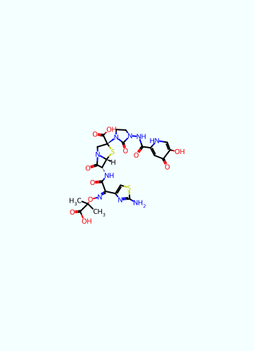 CC(C)(O/N=C(\C(=O)N[C@@H]1C(=O)N2C[C@@](C(=O)O)(N3CCN(NC(=O)c4cc(=O)c(O)c[nH]4)C3=O)S[C@H]12)c1csc(N)n1)C(=O)O